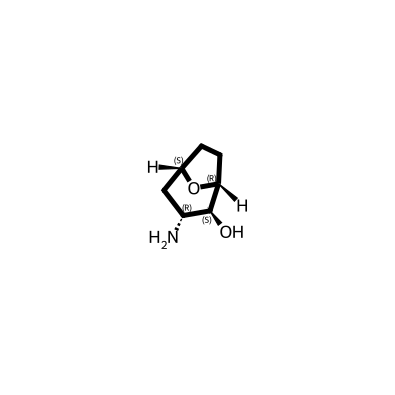 N[C@@H]1C[C@@H]2CC[C@@H](O2)[C@H]1O